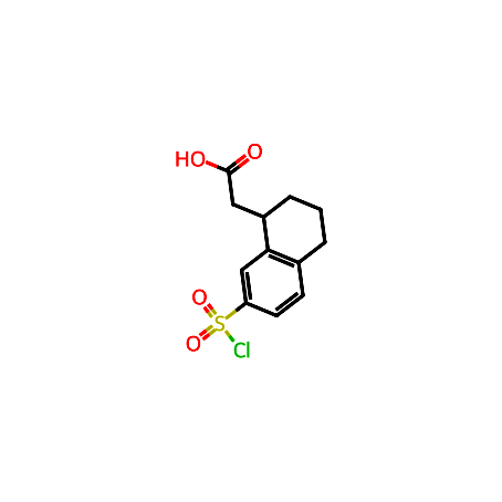 O=C(O)CC1CCCc2ccc(S(=O)(=O)Cl)cc21